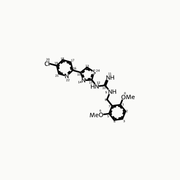 COc1cccc(OC)c1CNC(=N)Nc1nc(-c2ccc(Cl)cn2)cs1